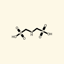 O=S(=O)(O)CNCS(=O)(=O)O